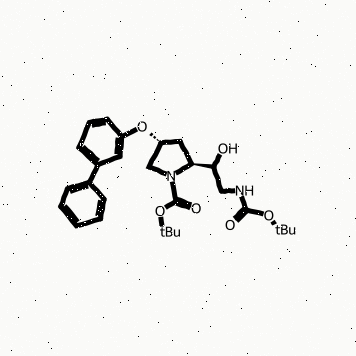 CC(C)(C)OC(=O)NCC(O)[C@@H]1C[C@@H](Oc2cccc(-c3ccccc3)c2)CN1C(=O)OC(C)(C)C